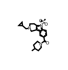 CC1CCN(C(=O)c2ccc3c(c2)c2c(n3S(C)(=O)=O)CCN(CC3CC3)C2)CC1